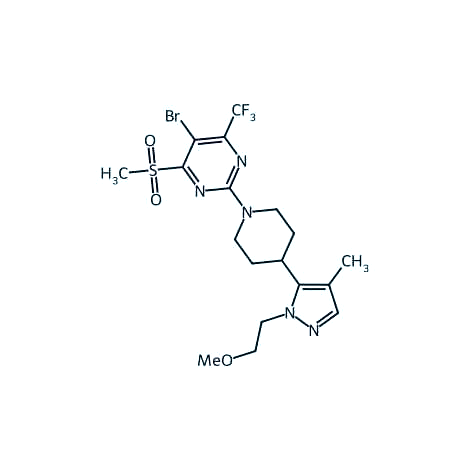 COCCn1ncc(C)c1C1CCN(c2nc(C(F)(F)F)c(Br)c(S(C)(=O)=O)n2)CC1